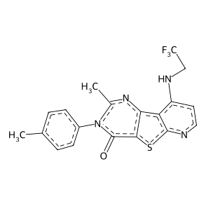 Cc1ccc(-n2c(C)nc3c(sc4nccc(NCC(F)(F)F)c43)c2=O)cc1